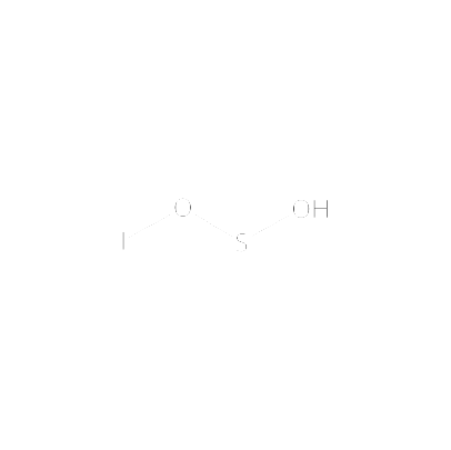 OSOI